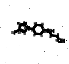 OCCNC1CCC(n2cc(I)cn2)CC1